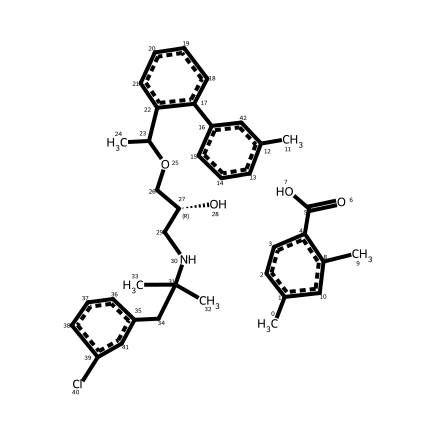 Cc1ccc(C(=O)O)c(C)c1.Cc1cccc(-c2ccccc2C(C)OC[C@H](O)CNC(C)(C)Cc2cccc(Cl)c2)c1